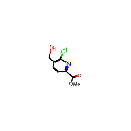 COC(=O)c1ccc(CO)c(Cl)n1